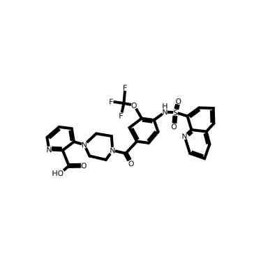 O=C(O)c1ncccc1N1CCN(C(=O)c2ccc(NS(=O)(=O)c3cccc4cccnc34)c(OC(F)(F)F)c2)CC1